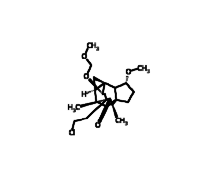 COCO[C@@H]1C[C@@](C)(CCCl)C(=O)[C@H](C)C23CC[C@H]4C[C@]41C2[C@H](OC)CC3